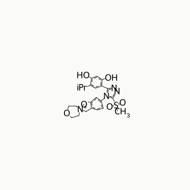 CC(C)c1cc(-c2nnc(S(C)(=O)=O)n2-c2ccc(C[N+]3([O-])CCOCC3)cc2)c(O)cc1O